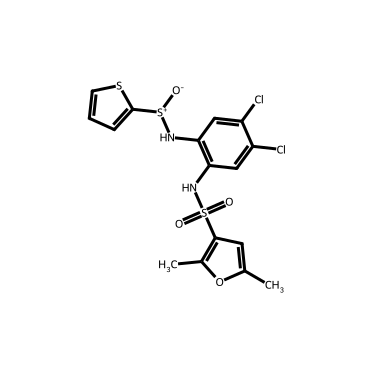 Cc1cc(S(=O)(=O)Nc2cc(Cl)c(Cl)cc2N[S+]([O-])c2cccs2)c(C)o1